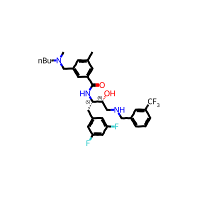 CCCCN(C)Cc1cc(C)cc(C(=O)N[C@@H](Cc2cc(F)cc(F)c2)[C@H](O)CNCc2cccc(C(F)(F)F)c2)c1